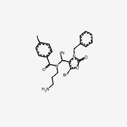 Cc1ccc(C(=O)N(CCCN)C(c2c(Br)oc(=O)n2Cc2ccccc2)C(C)C)cc1